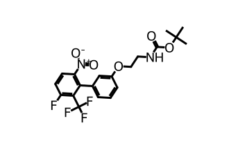 CC(C)(C)OC(=O)NCCOc1cccc(-c2c([N+](=O)[O-])ccc(F)c2C(F)(F)F)c1